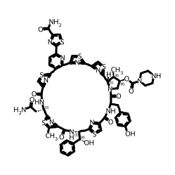 Cc1sc2nc1C(=O)N[C@@H]([C@H](O)c1ccccc1)c1nc(cs1)C(=O)NC(Cc1ccc(O)cc1)C(=O)N1C[C@H](OC(=O)N3CCNCC3)[C@H](C)[C@H]1c1nc(cs1)-c1nc(cs1)-c1nc(-c3nc(C(N)=O)cs3)ccc1-c1nc(cs1)C(=O)N[C@H]2CC(N)=O